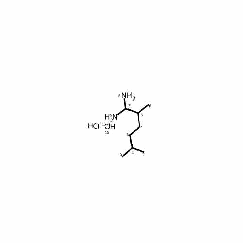 CC(C)CCC(C)C(N)N.Cl.Cl